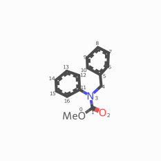 [CH2]OC(=O)N(Cc1ccccc1)c1ccccc1